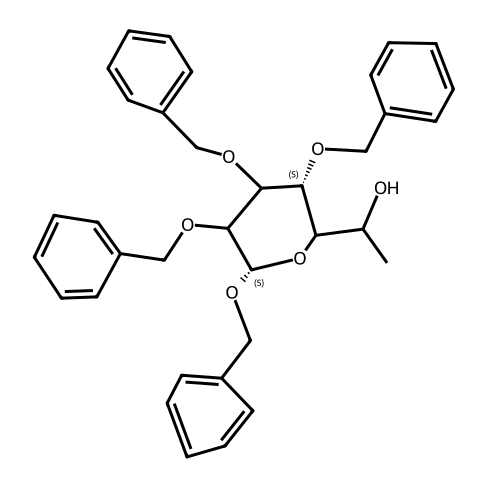 CC(O)C1O[C@H](OCc2ccccc2)C(OCc2ccccc2)C(OCc2ccccc2)[C@@H]1OCc1ccccc1